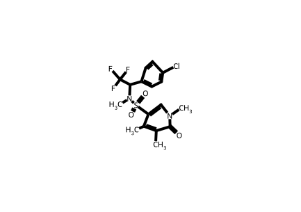 Cc1c(S(=O)(=O)N(C)C(c2ccc(Cl)cc2)C(F)(F)F)cn(C)c(=O)c1C